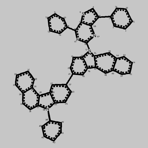 c1ccc(-c2csc3c(-c4ccccc4)nc(-n4c5ccc(-c6ccc7c(c6)c6c8ccccc8ccc6n7-c6ccccc6)cc5c5cc6ccccc6cc54)nc23)cc1